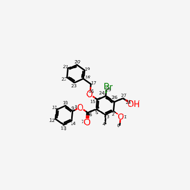 COc1c(C)c(C(=O)Oc2ccccc2)c(OCc2ccccc2)c(Br)c1CO